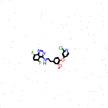 COc1cc(CCNc2ncnc3c(F)ccc(F)c23)ccc1Oc1ccnc(Cl)c1